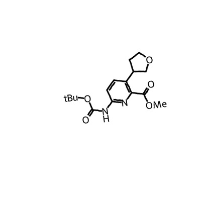 COC(=O)c1nc(NC(=O)OC(C)(C)C)ccc1C1CCOC1